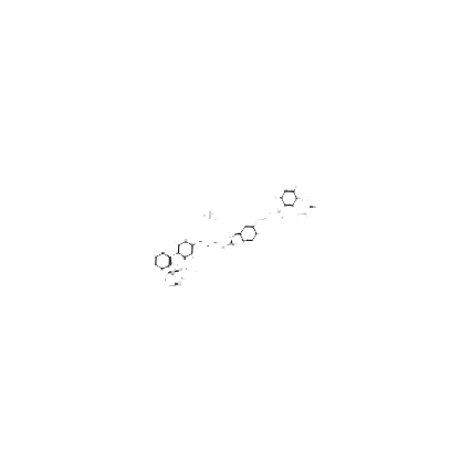 F.F.O=C1CCc2c([C@@H](O)CNCc3ccc4oc(CCCCc5ccc(-c6ccccc6)c(N(C(=O)O)[C@H]6CN7CCC6CC7)c5)nc4c3)ccc(O)c2N1